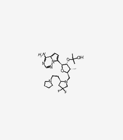 C[C@H]1[C@@H](OC(C)(C)O)[C@H](c2ccc3c(N)ncnn23)O[C@@H]1CN1CC(F)(F)C[C@H]1CCN1CCCC1